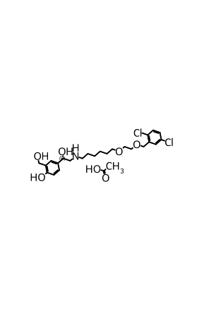 CC(=O)O.OCc1cc([C@@H](O)CNCCCCCCOCCOCc2cc(Cl)ccc2Cl)ccc1O